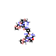 CN[C@@H](C)C(=O)N[C@H](C(=O)N1C[C@@H](NC(=O)c2cccc(C(=O)N[C@H]3C[C@@H](C(=O)N[C@H](C)C4OCCCO4)N(C(=O)[C@@H](NC(=O)[C@H](C)NC)C(C)(C)C)C3)c2)C[C@H]1C(=O)N[C@H](C)C1OCCCO1)C(C)(C)C